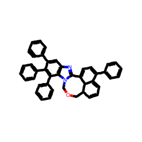 c1cccc(-c2cc3nc4n(c3c(-c3ccccc3)c2-c2ccccc2)COCC2C=CC=C3C(c5ccccc5)=CC=C4C32)c#1